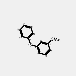 CSc1cccc(Sc2ccccc2)c1